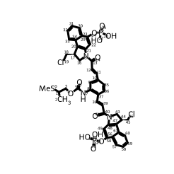 CSC(C)COC(=O)Nc1cc(/C=C/C(=O)N2C[C@@H](CCl)c3c2cc(OP(=O)(O)O)c2ccccc32)ccc1/C=C/C(=O)N1C[C@@H](CCl)c2c1cc(OP(=O)(O)O)c1ccccc21